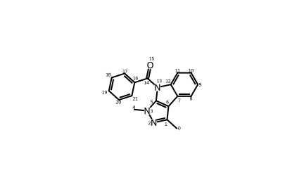 Cc1nn(C)c2c1c1ccccc1n2C(=O)c1ccccc1